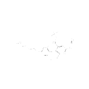 CN(C)CCCCOc1cc(F)c(-c2c(Cl)nc(N(C)C#N)nc2NCC(F)(F)F)c(F)c1